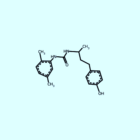 Cc1ccc(C)c(NC(=O)NC(C)CCc2ccc(O)cc2)c1